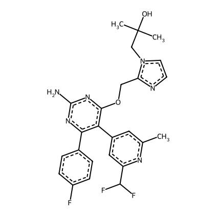 Cc1cc(-c2c(OCc3nccn3CC(C)(C)O)nc(N)nc2-c2ccc(F)cc2)cc(C(F)F)n1